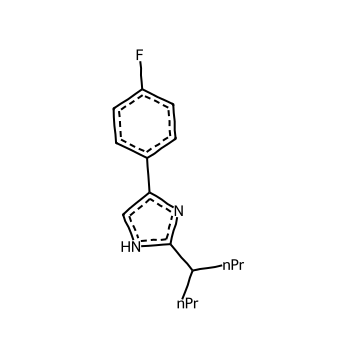 CCCC(CCC)c1nc(-c2ccc(F)cc2)c[nH]1